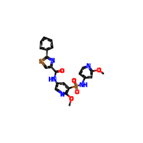 COc1cc(NS(=O)(=O)c2cc(NC(=O)c3csc(-c4ccccc4)n3)cnc2OC)ccn1